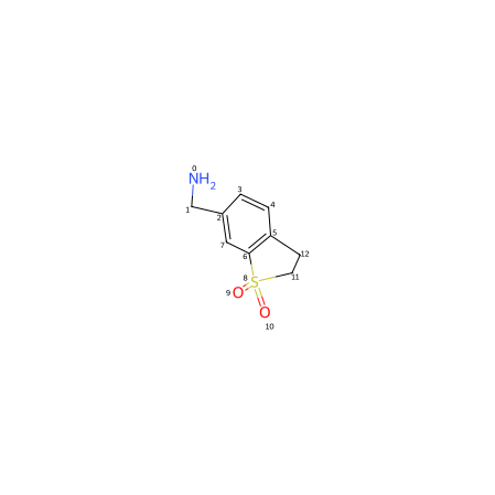 NCc1ccc2c(c1)S(=O)(=O)CC2